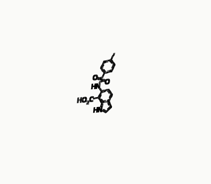 Cc1ccc(S(=O)(=O)Nc2ccc3cc[nH]c3c2C(=O)O)cc1